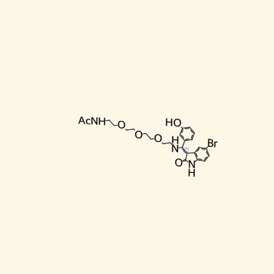 CC(=O)NCCOCCOCCOCCN/C(=C1\C(=O)Nc2ccc(Br)cc21)c1cccc(O)c1